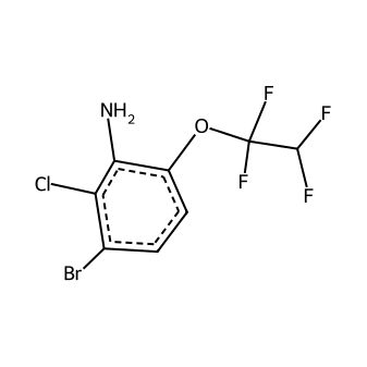 Nc1c(OC(F)(F)C(F)F)ccc(Br)c1Cl